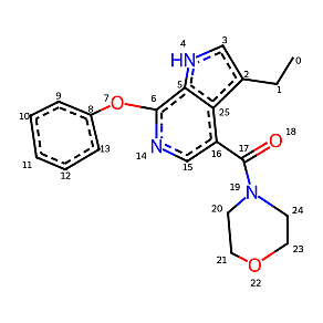 CCc1c[nH]c2c(Oc3ccccc3)ncc(C(=O)N3CCOCC3)c12